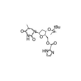 Cc1cn([C@H]2C[C@H](O[Si](C)(C)C(C)(C)C)[C@@H](COC(=O)c3ncc[nH]3)O2)c(=O)[nH]c1=O